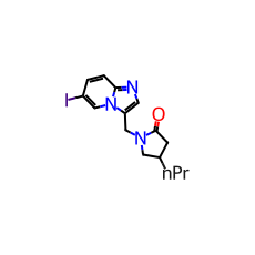 CCCC1CC(=O)N(Cc2cnc3ccc(I)cn23)C1